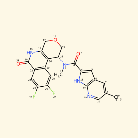 CN(C(=O)c1cc2cc(C(F)(F)F)cnc2[nH]1)[C@H]1COCc2[nH]c(=O)c3cc(F)c(F)cc3c21